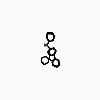 c1ccc(Nc2ccc3c(c2)C2(CCCCC2)c2ccccc2-3)cc1